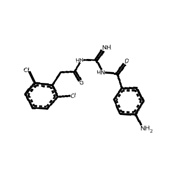 N=C(NC(=O)Cc1c(Cl)cccc1Cl)NC(=O)c1ccc(N)cc1